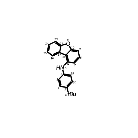 CC(C)(C)c1ccc(Nc2cccc3oc4ccccc4c23)cc1